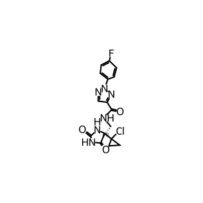 O=C1NC(=O)[C@](CNC(=O)c2cnn(-c3ccc(F)cc3)n2)(C2(Cl)CC2)N1